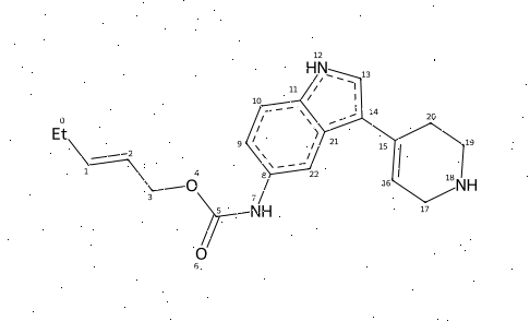 CCC=CCOC(=O)Nc1ccc2[nH]cc(C3=CCNCC3)c2c1